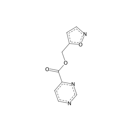 O=C(OCc1ccno1)c1ccncn1